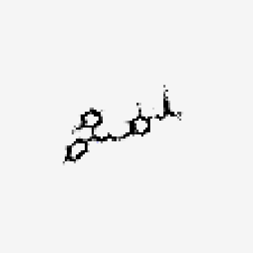 O=C(O)COc1ccc(SC/C=C(/c2ccccc2)c2ccccc2Br)cc1I